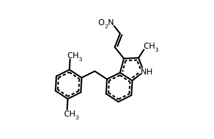 Cc1ccc(C)c(Cc2cccc3[nH]c(C)c(C=C[N+](=O)[O-])c23)c1